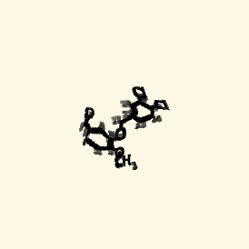 COc1ccc(C=O)cc1OCc1ccc(Cl)c(Cl)c1